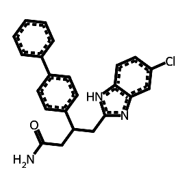 NC(=O)CC(Cc1nc2cc(Cl)ccc2[nH]1)c1ccc(-c2ccccc2)cc1